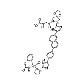 COC(=O)NCC(=O)N1CC2(C[C@H]1c1ncc(-c3ccc4cc(-c5ccc(-c6cnc([C@@H]7CCCN7C(=O)[C@H](NC(=O)OC)c7ccccc7)[nH]6)cc5)ccc4c3)[nH]1)OCCO2